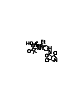 CCCCCCC1=C(N[C@H](C(=O)O)C(CC)c2ccc(NC(=O)c3c(Cl)cncc3Cl)cc2)C(C)(C)C1=O